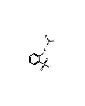 FB(F)F.O=S(=O)([O-])c1ccccc1F.[Li+]